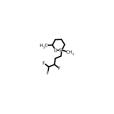 CC1CCC[Si](C)(CCC(F)C(F)F)O1